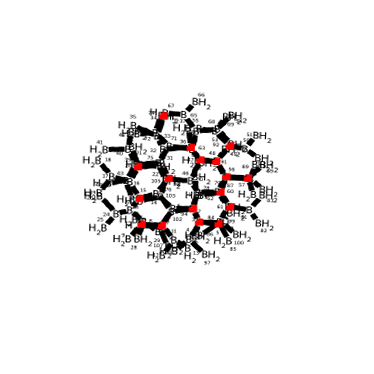 BBB(B(B)B)B(B(B(B)B)B(B)B)B(B(B(B(B)B)B(B)B)B(B(B)B)B(B)B)B(B(B(B(B)B)B(B)B)B(B(B)B)B(B)B)B(B(B(B(B(B)B)B(B)B)B(B(B)B)B(B)B)B(B(B(B)B)B(B)B)B(B(B)B)B(B)B)B(B(B(B(B)B)B(B)B)B(B(B)B)B(B)B)B(B(B(B)B)B(B)B)B(B(B)B)B(B)B